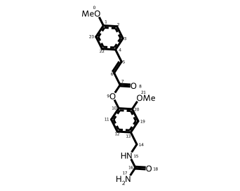 COc1ccc(/C=C/C(=O)Oc2ccc(CNC(N)=O)cc2OC)cc1